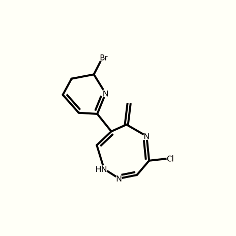 C=C1/N=C(Cl)\C=N/N/C=C\1C1=NC(Br)CC=C1